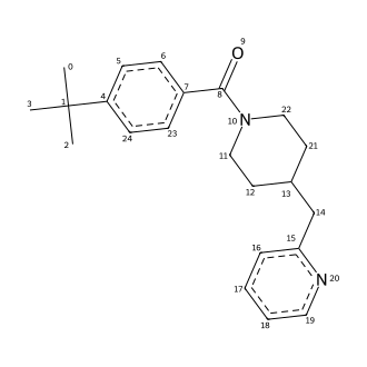 CC(C)(C)c1ccc(C(=O)N2CCC(Cc3ccccn3)CC2)cc1